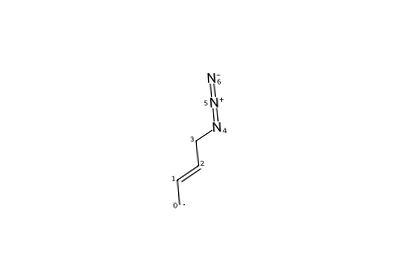 [CH2]C=CCN=[N+]=[N-]